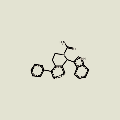 NC(=O)N1CCc2c(-c3ccccc3)cccc2C1c1c[nH]c2ccccc12